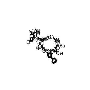 Cc1sc2c(c1C)C(c1ccc(Cl)cc1)=N[C@@H](CC(=O)NC[C@H]1NC(=O)C(C(C)C)NC(=O)[C@@H](Cc3ccc(-c4ccccc4)cc3)NC(=O)[C@@H]3C[C@@H](O)CN3C(=O)C(C(C)(C)C)n3cc(nn3)COCCNC1=O)c1nnc(C)n1-2